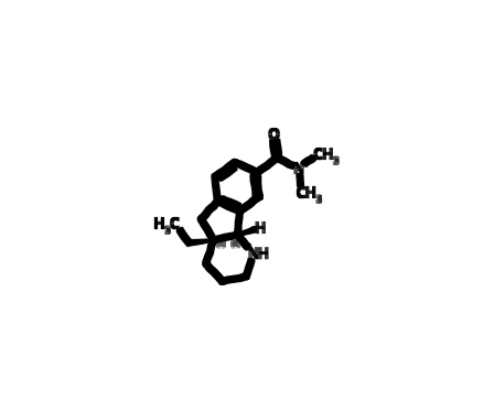 CC[C@]12CCCN[C@H]1c1cc(C(=O)N(C)C)ccc1C2